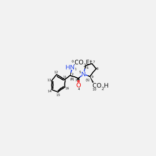 CCOC(=O)N[C@@H](C(=O)N1CCC[C@H]1C(=O)O)c1ccccc1